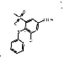 CS(=O)(=O)c1cc(C(=O)O)cc(Cl)c1Sc1ccccc1